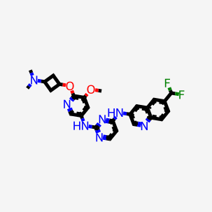 COc1cc(Nc2nccc(Nc3cnc4ccc(C(F)F)cc4c3)n2)cnc1OC1CC(N(C)C)C1